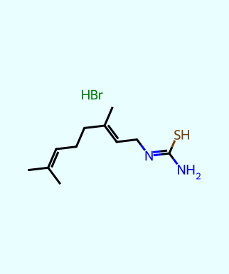 Br.CC(C)=CCCC(C)=CCN=C(N)S